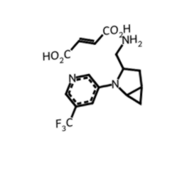 NCC1CC2CC2N1c1cncc(C(F)(F)F)c1.O=C(O)C=CC(=O)O